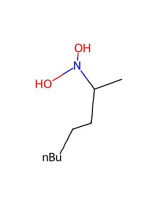 CCCCCCC(C)N(O)O